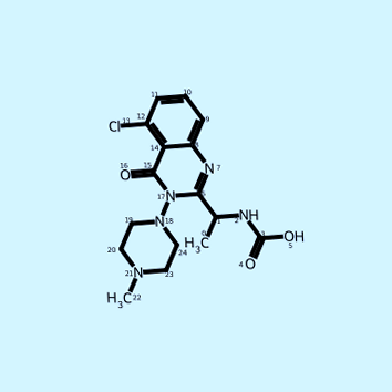 CC(NC(=O)O)c1nc2cccc(Cl)c2c(=O)n1N1CCN(C)CC1